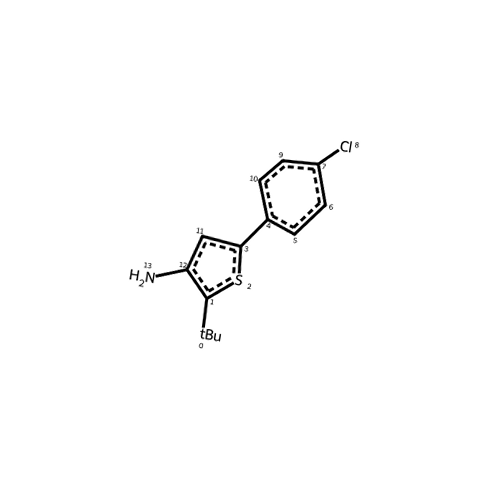 CC(C)(C)c1sc(-c2ccc(Cl)cc2)cc1N